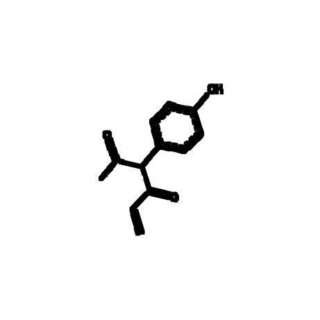 C=CC(=O)C(C(C)=O)c1ccc(O)cc1